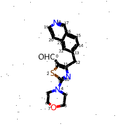 O=Cc1sc(N2CCOCC2)nc1Cc1ccc2cnccc2c1